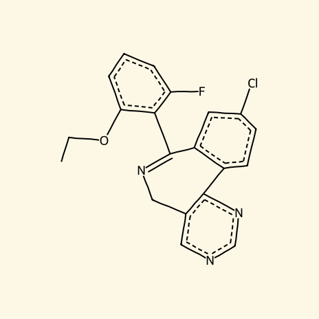 CCOc1cccc(F)c1C1=NCc2cncnc2-c2ccc(Cl)cc21